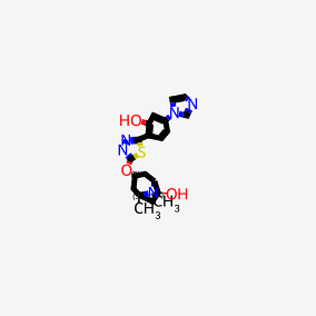 CN1C2C[C@@H](Oc3nnc(-c4ccc(-n5ccnc5)cc4O)s3)C[C@]1(C)C[C@H]2O